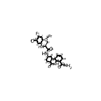 CC(C)OC[C@H](Nc1ccc(F)c(Cl)c1)C(=O)Nc1ccc2c(=O)[nH]c3c(C(N)=O)cccc3c2c1